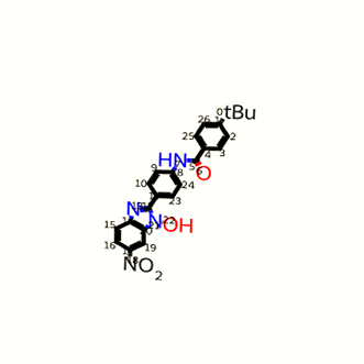 CC(C)(C)c1ccc(C(=O)Nc2ccc(-c3nc4ccc([N+](=O)[O-])cc4n3O)cc2)cc1